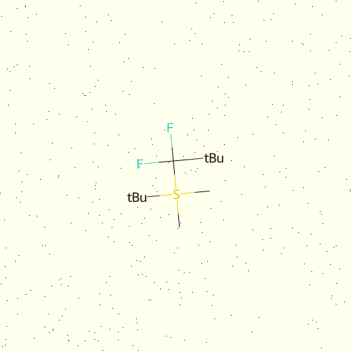 CC(C)(C)C(F)(F)S(C)(C)C(C)(C)C